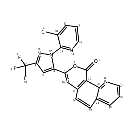 O=c1oc(-c2cc(C(F)(F)F)nn2-c2ncccc2Cl)nc2ccc3cccnc3c12